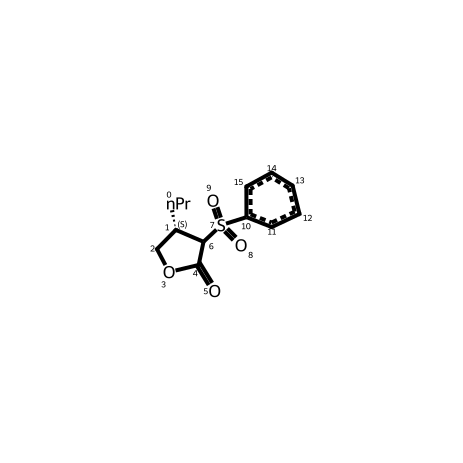 CCC[C@H]1COC(=O)C1S(=O)(=O)c1ccccc1